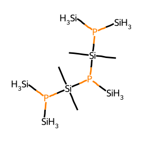 C[Si](C)(P([SiH3])[SiH3])P([SiH3])[Si](C)(C)P([SiH3])[SiH3]